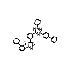 c1ccc(-c2ccc(-c3nc(-c4ccccc4)nc(-c4cccc(-c5ncnc6c5sc5c(-c7ccccc7)cccc56)c4)n3)cc2)cc1